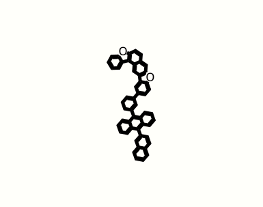 C1=C(c2ccc3oc4cc5ccc6oc7ccccc7c6c5cc4c3c2)C=C(c2c3ccccc3c(-c3ccc4ccccc4c3)c3ccccc23)CC1